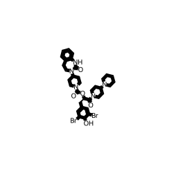 O=C(O[C@H](CC1=CC(Br)C(O)C(Br)=C1)C(=O)N1CCC(N2CCCCC2)CC1)N1CCC(N2CCc3ccccc3NC2=O)CC1